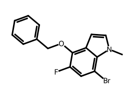 Cn1ccc2c(OCc3ccccc3)c(F)cc(Br)c21